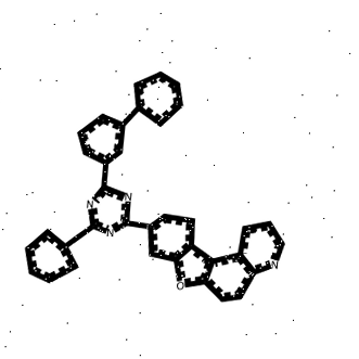 c1ccc(-c2cccc(-c3nc(-c4ccccc4)nc(-c4ccc5c(c4)oc4ccc6ncccc6c45)n3)c2)cc1